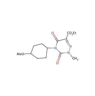 CCOC(=O)c1nn(C)c(=O)n(C2CCC(OC)CC2)c1=O